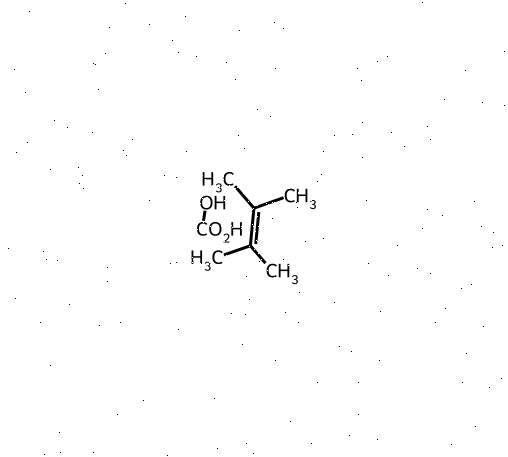 CC(C)=C(C)C.O=C(O)O